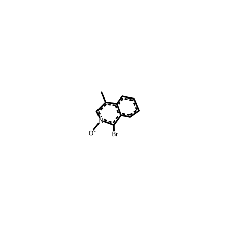 Cc1c[n+]([O-])c(Br)c2ccccc12